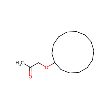 CC(=O)COC1CCCCCCCCCCCCC1